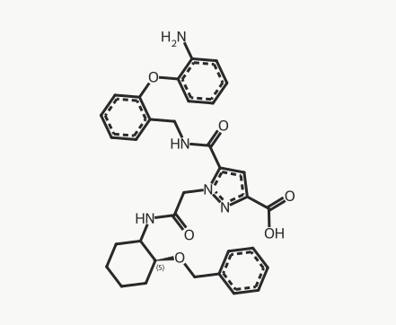 Nc1ccccc1Oc1ccccc1CNC(=O)c1cc(C(=O)O)nn1CC(=O)NC1CCCC[C@@H]1OCc1ccccc1